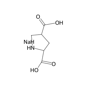 O=C(O)C1CNC(C(=O)O)C1.[NaH]